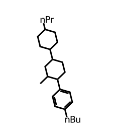 CCCCc1ccc(C2CCC(C3CCC(CCC)CC3)CC2C)cc1